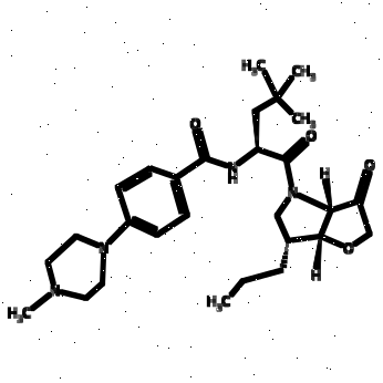 CCC[C@@H]1CN(C(=O)[C@H](CC(C)(C)C)NC(=O)c2ccc(N3CCN(C)CC3)cc2)[C@@H]2C(=O)CO[C@H]12